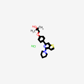 CC(C)(O)COc1ccc(-c2cc3sccc3c(N3CCCCC3)n2)cc1.Cl